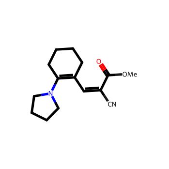 COC(=O)C(C#N)=CC1=C(N2CCCC2)CCCC1